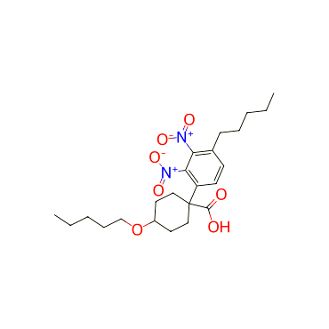 CCCCCOC1CCC(C(=O)O)(c2ccc(CCCCC)c([N+](=O)[O-])c2[N+](=O)[O-])CC1